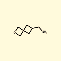 NCC1CC2(COC2)C1